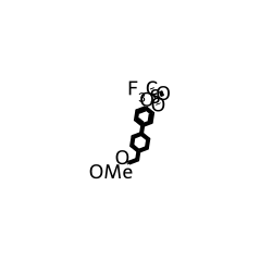 COC(=O)CC1CCC(c2ccc(OS(=O)(=O)C(F)(F)F)cc2)CC1